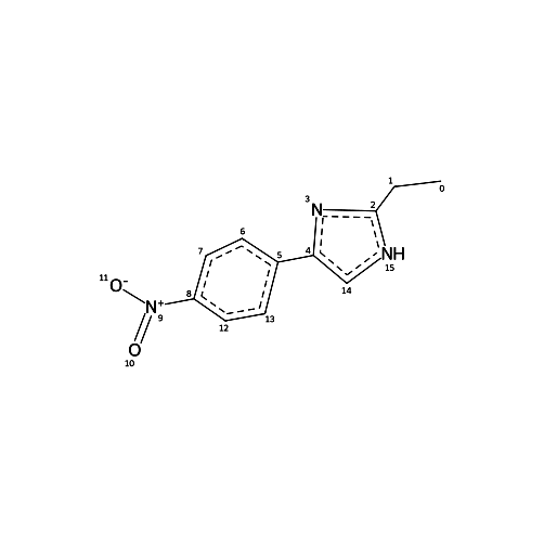 CCc1nc(-c2ccc([N+](=O)[O-])cc2)c[nH]1